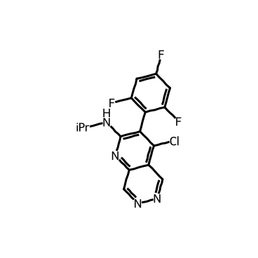 CC(C)Nc1nc2cnncc2c(Cl)c1-c1c(F)cc(F)cc1F